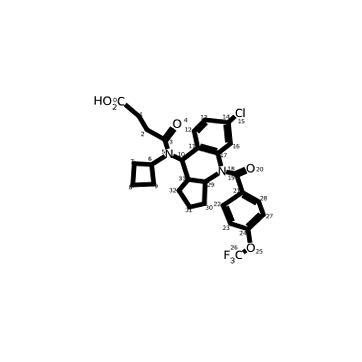 O=C(O)CCC(=O)N(C1CCC1)C1c2ccc(Cl)cc2N(C(=O)c2ccc(OC(F)(F)F)cc2)C2CCCC21